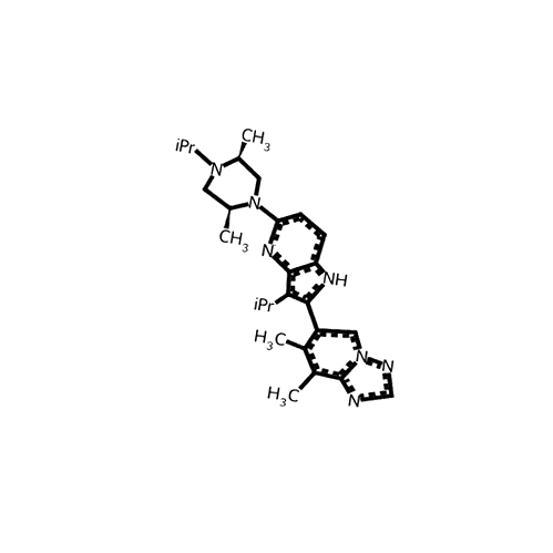 Cc1c(-c2[nH]c3ccc(N4C[C@H](C)N(C(C)C)C[C@@H]4C)nc3c2C(C)C)cn2ncnc2c1C